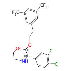 FC(F)(F)c1cc(CCO[C@@H]2OCCN[C@H]2c2ccc(Cl)c(Cl)c2)cc(C(F)(F)F)c1